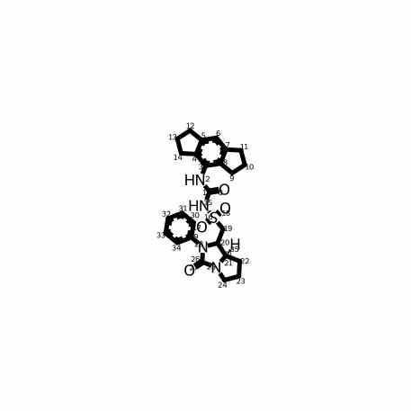 O=C(Nc1c2c(cc3c1CCC3)CCC2)NS(=O)(=O)CC1[C@H]2CCCN2C(=O)N1c1ccccc1